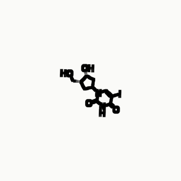 O=c1[nH]c(=O)n(C2C[C@H](CO)[C@H](O)C2)cc1I